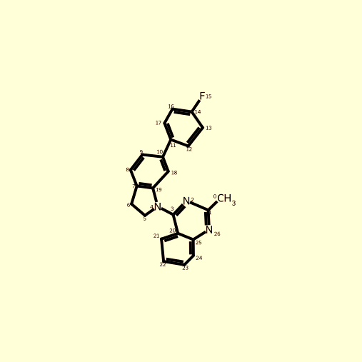 Cc1nc(N2CCc3ccc(-c4ccc(F)cc4)cc32)c2ccccc2n1